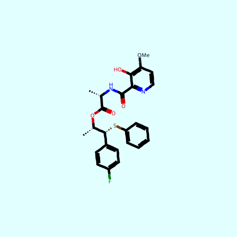 COc1ccnc(C(=O)N[C@@H](C)C(=O)O[C@@H](C)[C@H](Sc2ccccc2)c2ccc(F)cc2)c1O